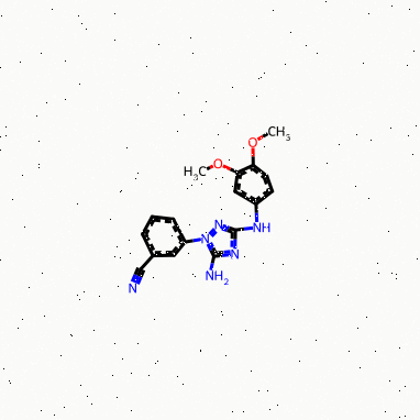 COc1ccc(Nc2nc(N)n(-c3cccc(C#N)c3)n2)cc1OC